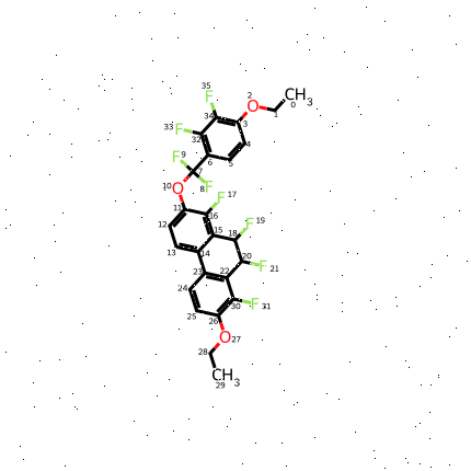 CCOc1ccc(C(F)(F)Oc2ccc3c(c2F)C(F)C(F)c2c-3ccc(OCC)c2F)c(F)c1F